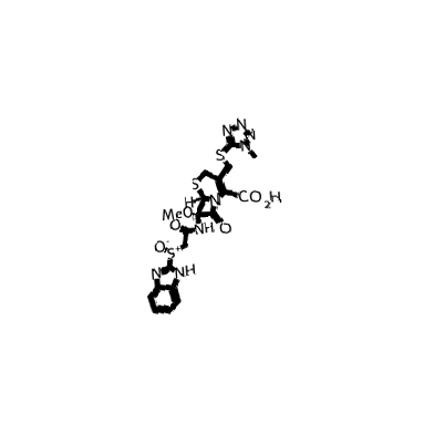 CO[C@@]1(NC(=O)C[S+]([O-])c2nc3ccccc3[nH]2)C(=O)N2C(C(=O)O)=C(CSc3nnnn3C)CS[C@H]21